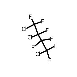 FC(F)(Cl)C(F)(Cl)C(F)(F)C(F)(Cl)I